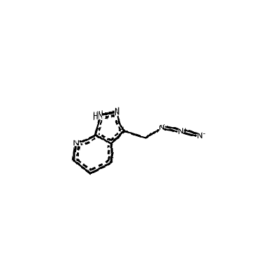 [N-]=[N+]=NCc1n[nH]c2ncccc12